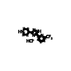 Cl.FC(F)(F)c1cccc(-c2nc(C3CCNCC3)n[nH]2)n1